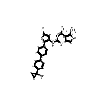 CC(=O)C1(c2ccc(-c3ccc(-c4sc(F)cc4NC(=O)OC(C)c4ccsc4C)cc3)cc2)CC1